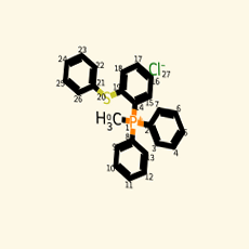 C[P+](c1ccccc1)(c1ccccc1)c1ccccc1Sc1ccccc1.[Cl-]